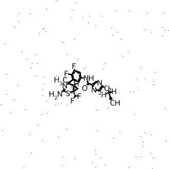 [2H]C([2H])(C#C)Oc1cnc(C(=O)Nc2cc(F)c(F)c([C@@]3(C)N=C(N)S[C@@]4(C(F)F)C[C@@H]34)c2)cn1